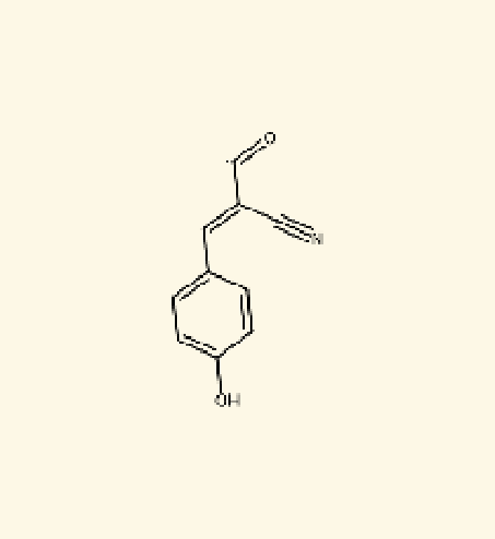 N#C/C([C]=O)=C\c1ccc(O)cc1